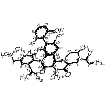 C=CC(=O)N1CC2C(=O)N(C)c3c(c4cc(F)c(-c5c(O)cccc5F)c(F)c4n(-c4c(C)cc(CN(C)C)cc4C(C)C)c3=O)N2CC1C